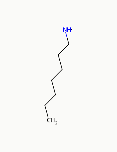 [CH2]CCCCCC[NH]